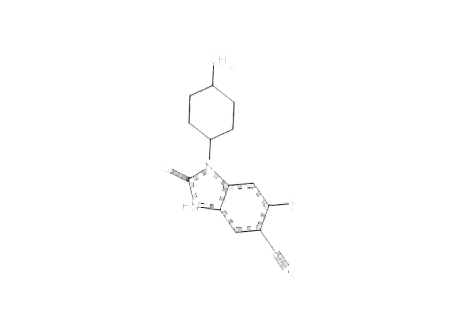 CC1CCC(n2c(=O)[nH]c3cc(C#N)c(F)cc32)CC1